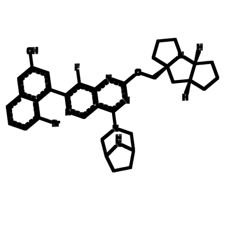 Oc1cc(-c2ncc3c(N4CC5CCC(C4)N5)nc(OC[C@@]45CCCN4[C@@H]4CCC[C@@H]4C5)nc3c2F)c2c(Br)cccc2c1